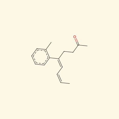 C/C=C\C=C(\CCC(C)=O)c1ccccc1C